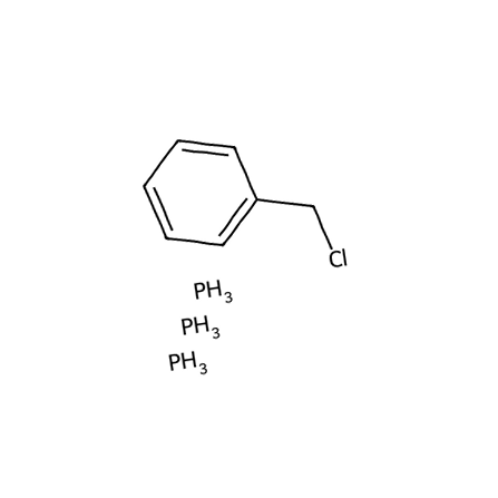 ClCc1ccccc1.P.P.P